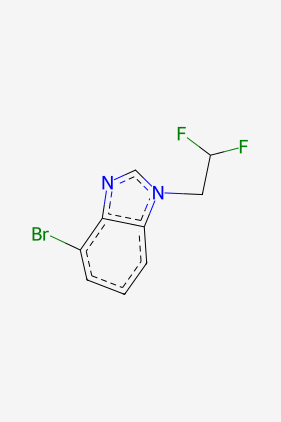 FC(F)Cn1cnc2c(Br)cccc21